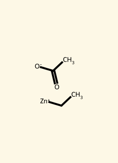 CC(=O)[O-].C[CH2][Zn+]